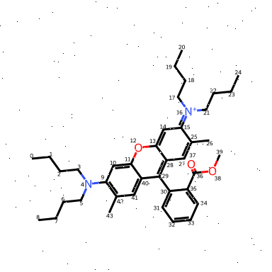 CCCCN(CCCC)c1cc2oc3cc(=[N+](CCCC)CCCC)c(C)cc-3c(-c3ccccc3C(=O)OC)c2cc1C